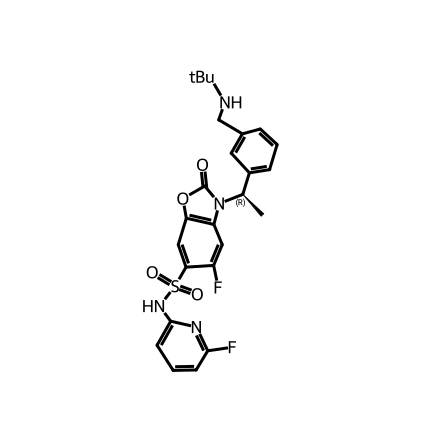 C[C@H](c1cccc(CNC(C)(C)C)c1)n1c(=O)oc2cc(S(=O)(=O)Nc3cccc(F)n3)c(F)cc21